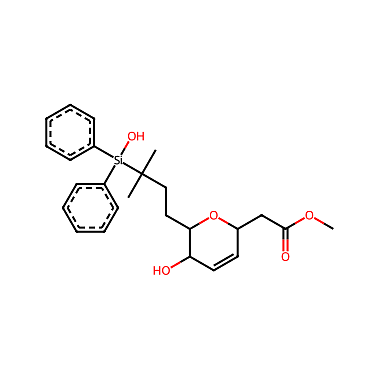 COC(=O)CC1C=CC(O)C(CCC(C)(C)[Si](O)(c2ccccc2)c2ccccc2)O1